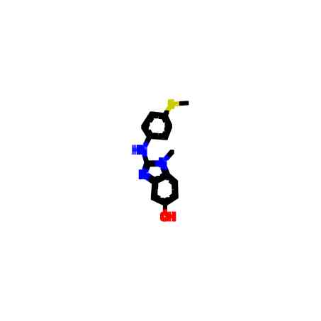 CSc1ccc(Nc2nc3cc(O)ccc3n2C)cc1